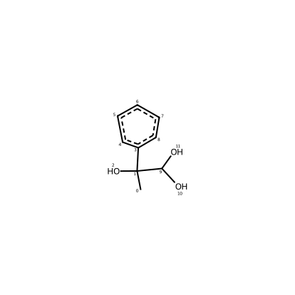 CC(O)(c1ccccc1)C(O)O